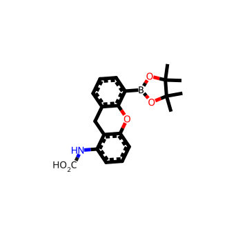 CC1(C)OB(c2cccc3c2Oc2cccc(NC(=O)O)c2C3)OC1(C)C